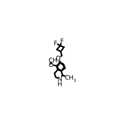 COc1c(OCC2CC(F)(F)C2)ccc2c1CCNC2C